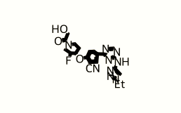 CCn1cc(Nc2ncnc(-c3ccc(OC4CCN(C(=O)CO)CC4F)c(C#N)c3)n2)nn1